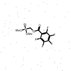 CC[Si](COC(=O)c1c(F)c(F)c(F)c(F)c1F)(OC)OC